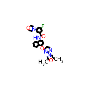 CC1CN(c2nccc(Oc3ccc(NC(=O)c4cc(F)cc(N5CCOCC5)c4)c4ccccc34)n2)CC(C)O1